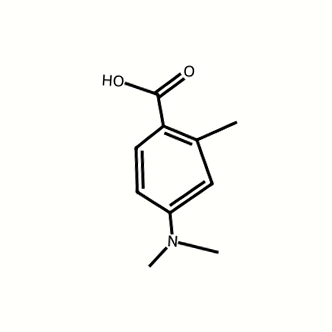 Cc1cc(N(C)C)ccc1C(=O)O